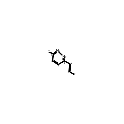 C/C=C/c1ccc(C)nn1